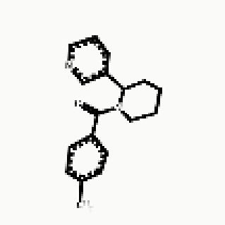 Cc1ccc(C(=O)N2CCCCC2c2cccnc2)cc1